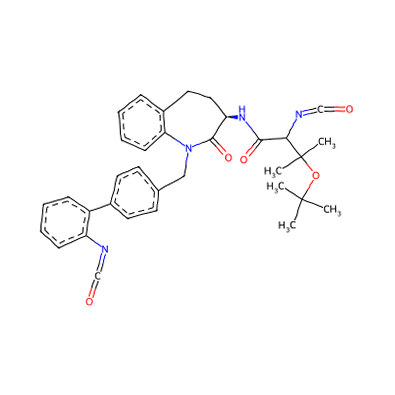 CC(C)(C)OC(C)(C)C(N=C=O)C(=O)N[C@@H]1CCc2ccccc2N(Cc2ccc(-c3ccccc3N=C=O)cc2)C1=O